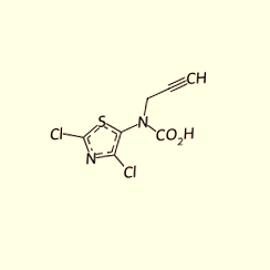 C#CCN(C(=O)O)c1sc(Cl)nc1Cl